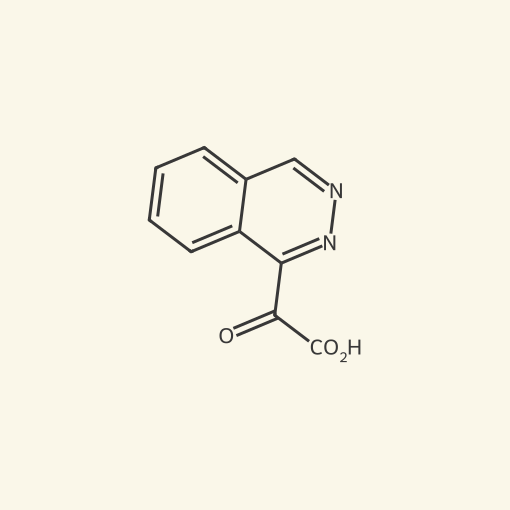 O=C(O)C(=O)c1nncc2ccccc12